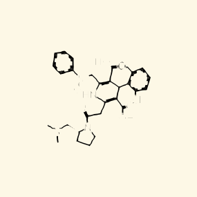 CN(C)C[C@@H]1CCCN1C(=O)CC1=C(C(=O)O)C(c2c(Cl)cccc2Cl)C(C(=O)O)=C(C[S+]([O-])c2ccccc2)N1